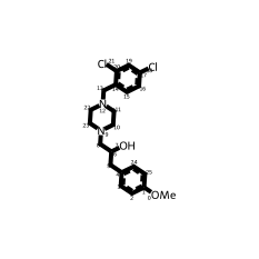 COc1ccc(CC(O)CN2C[CH]N(Cc3ccc(Cl)cc3Cl)CC2)cc1